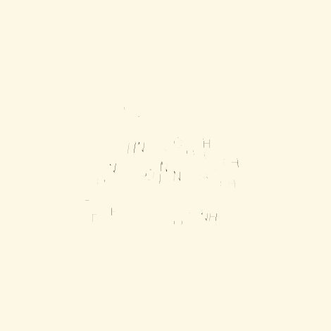 CC(C)(C)OC(=O)N(C[C@@H]1CCNC1=O)NC(=O)C(CC12CC(C1)C2)NC(=O)c1cc(C(F)(F)F)on1